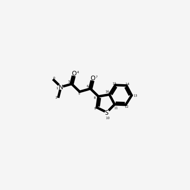 CN(C)C(=O)CC(=O)c1csc2ccccc12